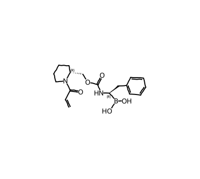 C=CC(=O)N1CCCC[C@@H]1COC(=O)N[C@@H](Cc1ccccc1)B(O)O